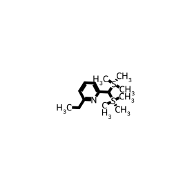 CCc1cccc(C(S(C)(C)C)S(C)(C)C)n1